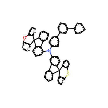 c1ccc(-c2cccc(-c3ccc(N(c4ccc5c(c4)-c4ccccc4C54c5ccccc5Sc5ccccc54)c4cccc5c4-c4ccccc4C54c5ccccc5Oc5ccccc54)cc3)c2)cc1